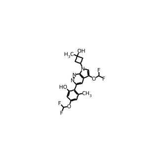 Cc1cc(OC(F)F)cc(O)c1-c1cc2c(OC(F)F)cn(C3CC(C)(O)C3)c2nn1